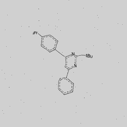 CC(C)c1ccc(-c2cc(-c3ccccc3)nc(C(C)(C)C)n2)cc1